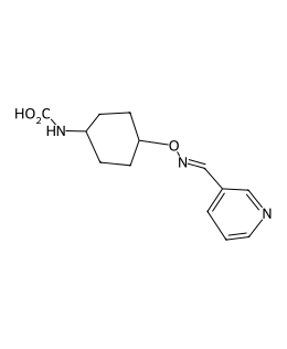 O=C(O)NC1CCC(ON=Cc2cccnc2)CC1